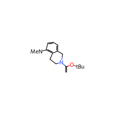 C=C(OC(C)(C)C)N1CCc2c(cccc2NC)C1